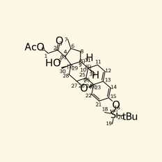 CC(=O)OCC(=O)[C@@]1(O)C(C)C[C@H]2[C@@H]3CC=C4C=C(O[Si](C)(C)C(C)(C)C)C=C[C@]4(C)[C@]34OC4C[C@@]21C